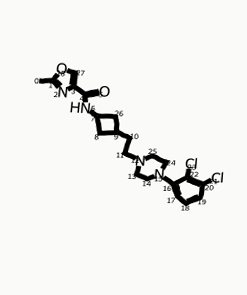 Cc1nc(C(=O)NC2CC(CCN3CCN(c4cccc(Cl)c4Cl)CC3)C2)co1